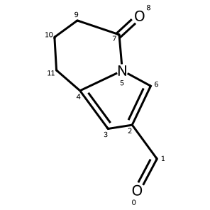 O=Cc1cc2n(c1)C(=O)CCC2